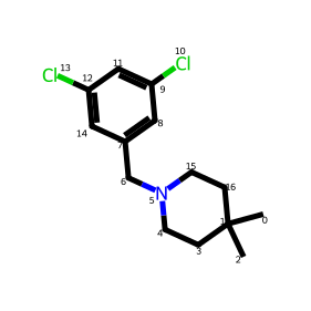 CC1(C)CCN(Cc2cc(Cl)cc(Cl)c2)CC1